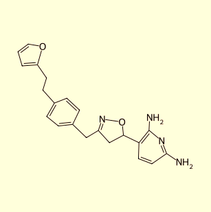 Nc1ccc(C2CC(Cc3ccc(CCc4ccco4)cc3)=NO2)c(N)n1